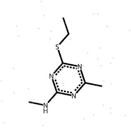 CCSc1nc(C)nc(NC)n1